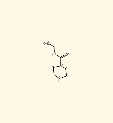 O=CCOC(=O)N1CCNCC1